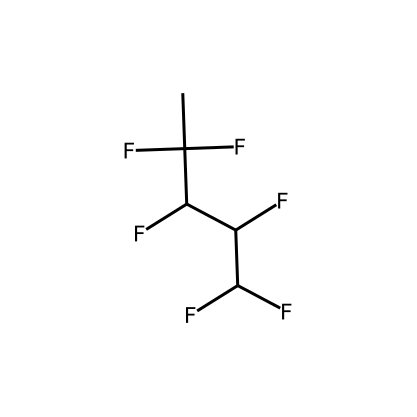 CC(F)(F)C(F)C(F)C(F)F